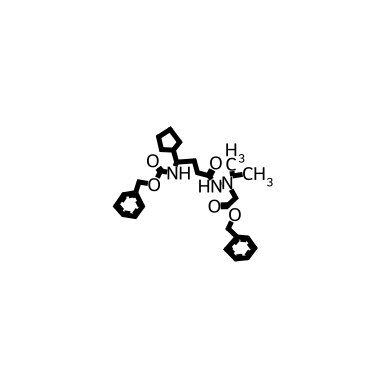 CC(C)N(CC(=O)OCc1ccccc1)NC(=O)CCC(NC(=O)OCc1ccccc1)C1CCCC1